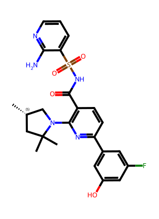 C[C@@H]1CN(c2nc(-c3cc(O)cc(F)c3)ccc2C(=O)NS(=O)(=O)c2cccnc2N)C(C)(C)C1